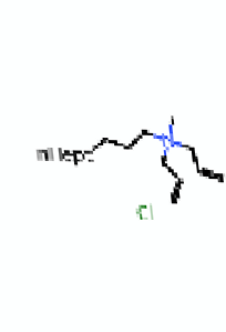 C=CC[N+](C)(CC=C)CCCCCCCCCC.[Cl-]